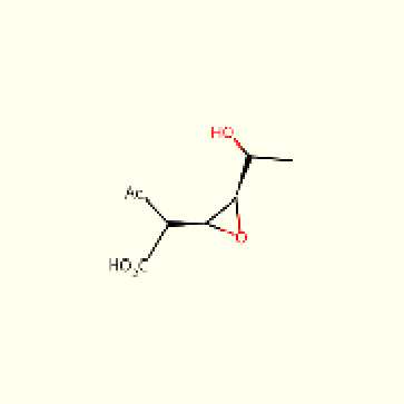 CC(=O)C(C(=O)O)[C@@H]1O[C@@H]1C(C)O